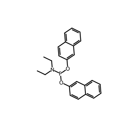 CCN(CC)P(Oc1ccc2ccccc2c1)Oc1ccc2ccccc2c1